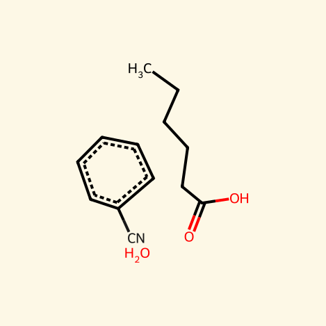 CCCCCC(=O)O.N#Cc1ccccc1.O